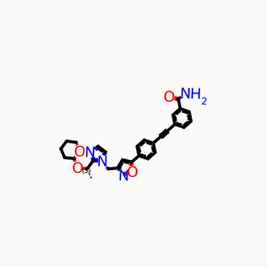 C[C@H](OC1CCCCO1)c1nccn1Cc1cc(-c2ccc(C#Cc3cccc(C(N)=O)c3)cc2)on1